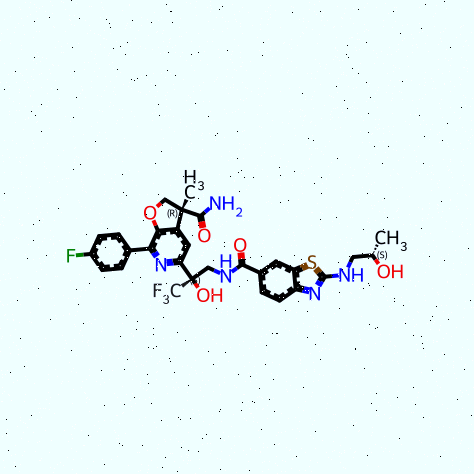 C[C@H](O)CNc1nc2ccc(C(=O)NC[C@](O)(c3cc4c(c(-c5ccc(F)cc5)n3)OC[C@]4(C)C(N)=O)C(F)(F)F)cc2s1